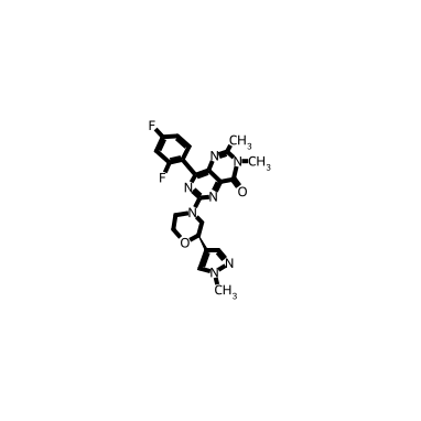 Cc1nc2c(-c3ccc(F)cc3F)nc(N3CCO[C@H](c4cnn(C)c4)C3)nc2c(=O)n1C